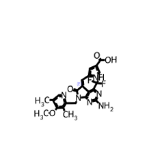 COc1c(C)cnc(CN2C(=O)/C(=C/c3cc(C(=O)O)c[nH]3)c3c2nc(N)nc3C(F)(F)F)c1C